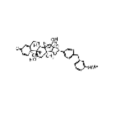 CNc1cccc(Cc2ccc([C@@H]3O[C@@H]4C[C@H]5[C@@H]6CCC7=CC(=O)C=C[C@]7(C)[C@@]6(F)[C@@H](O)C[C@]5(C)[C@]4(C(=O)CO)O3)cc2)c1